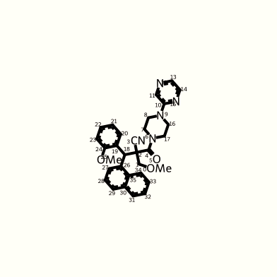 COCC(C#N)(C(=O)N1CCN(c2cnccn2)CC1)C(c1ccccc1OC)c1cccc2ccccc12